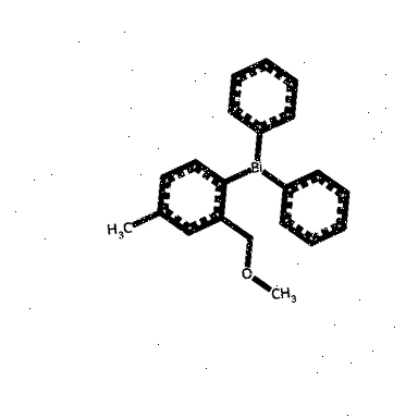 COCc1cc(C)cc[c]1[Bi]([c]1ccccc1)[c]1ccccc1